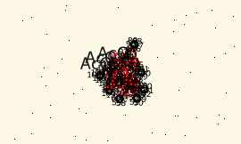 CC(=O)OC1[C@@H](OC2[C@@H](OCC3O[C@H](C)C(OCc4ccccc4)[C@@H](O[C@H]4OC(COCc5ccccc5)[C@H](OCc5ccccc5)C(OCc5ccccc5)C4OCc4ccccc4)[C@@H]3OCc3ccccc3)OC(COCc3ccccc3)[C@@H](OCc3ccccc3)[C@@H]2OC(C)=O)OC(COCc2ccccc2)[C@@H](OCc2ccccc2)[C@@H]1OC(C)=O